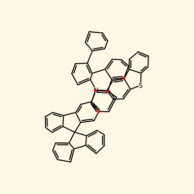 c1ccc(-c2ccccc2-c2c(-c3ccccc3)cccc2N(c2ccc3c(c2)-c2ccccc2C32c3ccccc3-c3ccccc32)c2ccc3sc4ccccc4c3c2)cc1